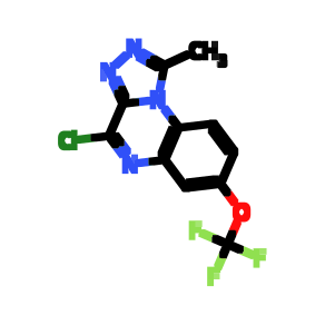 Cc1nnc2c(Cl)nc3cc(OC(F)(F)F)ccc3n12